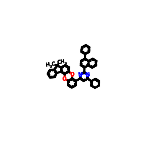 CC1(C)c2ccccc2-c2c1ccc1c2Oc2cccc(-c3cc(C4=CCCC=C4)nc(-c4ccc(-c5ccccc5)c5ccccc45)n3)c2O1